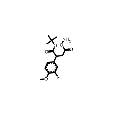 COc1ccc(C(CC(=O)ON)C(=O)OC(C)(C)C)cc1F